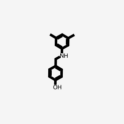 Cc1cc(C)cc(NCc2ccc(O)cc2)c1